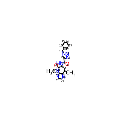 C[C@H]1C[C@@H](NC(=O)c2cn(Cc3ccccc3)nn2)C(=O)N(C)c2nccnc21